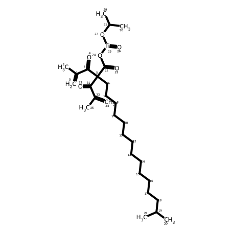 C=C(C)C(=O)C(CCCCCCCCCCCCCC(C)C)(C(=O)[O][Ti](=[O])[O]C(C)C)C(=O)C(=C)C